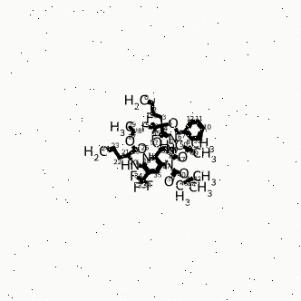 C=CCC[C@@](OCc1ccccc1)(c1nnc(-c2nc(NC(CC=C)C(=O)OCC)c(C(F)(F)F)cc2N(C(=O)OC(C)(C)C)C(=O)OC(C)(C)C)o1)C(F)(F)F